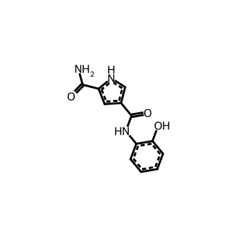 NC(=O)c1cc(C(=O)Nc2ccccc2O)c[nH]1